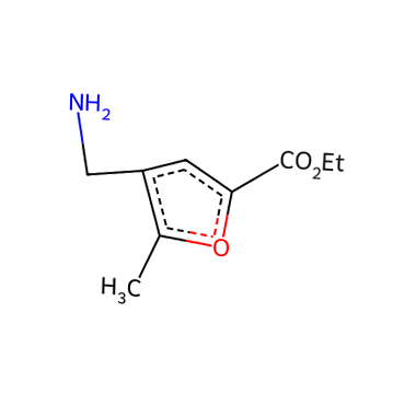 CCOC(=O)c1cc(CN)c(C)o1